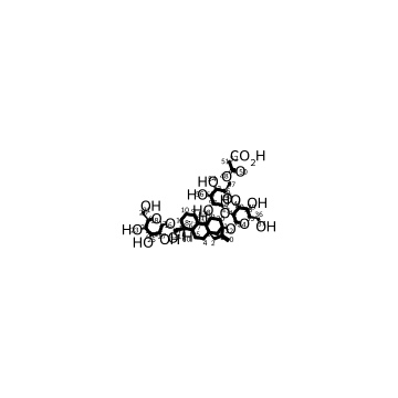 C=C1C[C@@]23CC[C@H]4[C@@](C)(CCC[C@@]4(C)C(=O)O[C@@H]4O[C@H](CO)[C@@H](O)[C@H](O)[C@H]4O)[C@@H]2CC[C@@]1(O[C@@H]1O[C@H](CO)[C@@H](O)[C@H](O)[C@H]1O[C@@H]1O[C@H](COC(=O)CC(=O)O)[C@@H](O)[C@H](O)[C@H]1O)C3